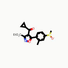 CCOC(=O)c1noc(-c2ccc([S+](C)[O-])cc2C)c1C(=O)C1CC1